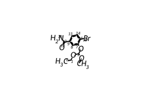 CCOC(OC)Oc1cc(C(N)=O)ccc1Br